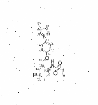 CCS(=O)(=O)N[C@H]1CCC(F)(F)C[C@H]1COc1ccc(-n2cc(C)cn2)cc1